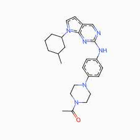 CC(=O)N1CCN(c2ccc(Nc3ncc4ccn(C5CCCC(C)C5)c4n3)cc2)CC1